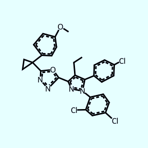 CCc1c(-c2nnc(C3(c4ccc(OC)cc4)CC3)o2)nn(-c2ccc(Cl)cc2Cl)c1-c1ccc(Cl)cc1